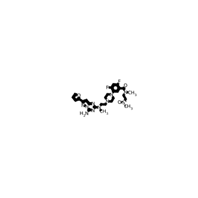 CN(CC[S@+](C)[O-])C(=O)c1cc(N2CCN(CCN(C)c3nc(N)n4nc(-c5ccco5)cc4n3)CC2)c(F)cc1F